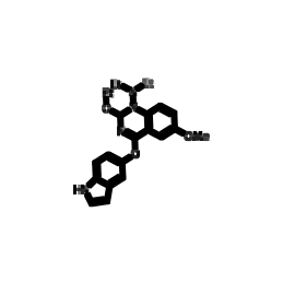 CCOC1N=C(Oc2ccc3[nH]ccc3c2)c2cc(OC)ccc2N1N(CC)CC